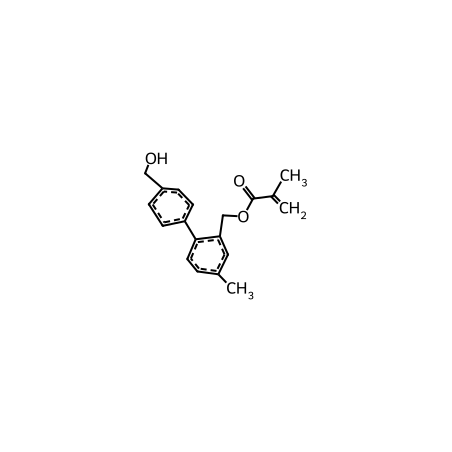 C=C(C)C(=O)OCc1cc(C)ccc1-c1ccc(CO)cc1